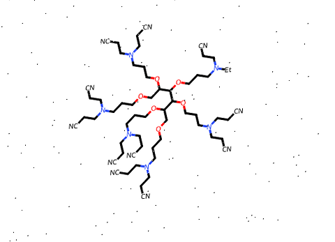 CCN(CCC#N)CCCOC(C(COCCCN(CCC#N)CCC#N)OCCCN(CCC#N)CCC#N)C(OCCCN(CCC#N)CCC#N)C(COCCCN(CCC#N)CCC#N)OCCCN(CCC#N)CCC#N